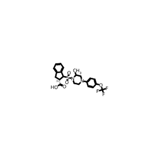 CC1CN(c2ccc(OC(F)(F)F)cc2)CCN1S(=O)(=O)C1c2ccccc2C[C@H]1C(=O)O